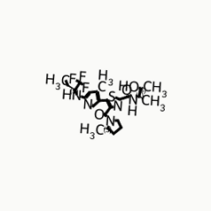 CC[C@H](Nc1cc(C)c(-c2sc(C(=O)N[C@@H](C)[C@H](C)O)nc2C(=O)N2CCC[C@@H]2C)cn1)C(F)(F)F